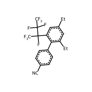 CCc1[c]c(CC)c(-c2ccc(C#N)cc2)c(C(F)(C(F)(F)F)C(F)(F)C(F)(F)F)c1